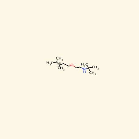 CC(C)[C@H](C)CCOCCNC(C)(C)C